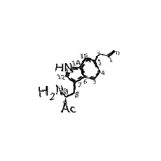 C=CCc1ccc2c(C[C@H](N)C(C)=O)c[nH]c2c1